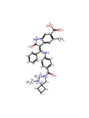 Cc1cc2c(cc1C(=O)O)NC(=O)/C2=C(/Nc1ccc(C(=O)NCC2(N(C)C)CCC2)cc1)c1ccccc1